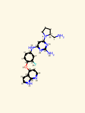 NC[C@@H]1CCCN1c1cc(Nc2ccc(Oc3ccnc4[nH]ccc34)c(F)c2)nc(N)n1